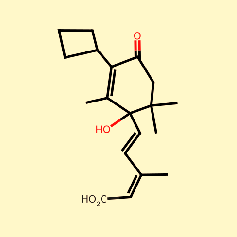 CC1=C(C2CCC2)C(=O)CC(C)(C)C1(O)/C=C/C(C)=C\C(=O)O